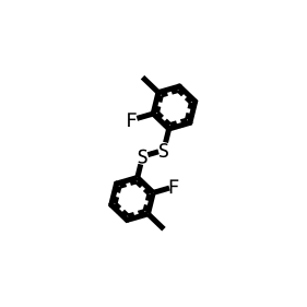 Cc1cccc(SSc2cccc(C)c2F)c1F